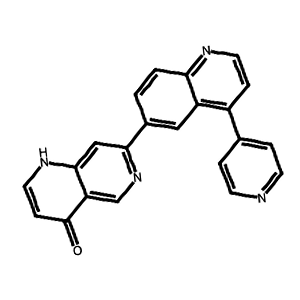 O=c1cc[nH]c2cc(-c3ccc4nccc(-c5ccncc5)c4c3)ncc12